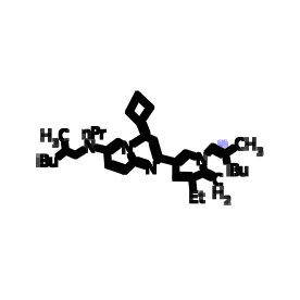 C=C1C(CC)=CC(C2=CC(=C3CCC3)N3C=C(N(CCC)CC(C)C(C)CC)C=CC3=N2)=CN1/C=C(/C)C(C)CC